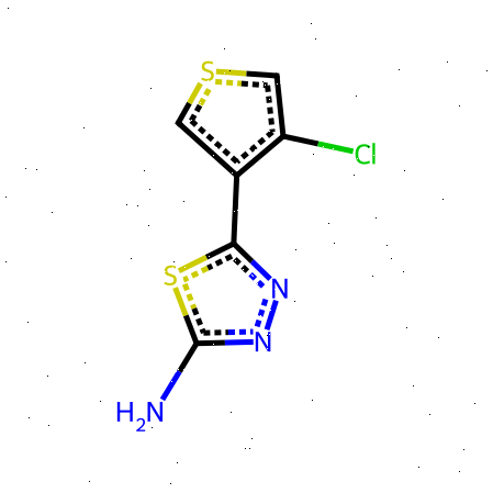 Nc1nnc(-c2cscc2Cl)s1